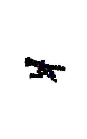 C=CCN1CCC2(c3cccc(OC)c3)CC(N(C)C(=O)CCCCCc3ccccc3)CC(OC)C2C1